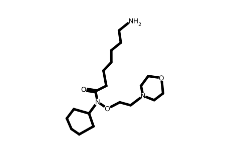 NCCCCCCC(=O)N(OCCN1CCOCC1)C1CCCCC1